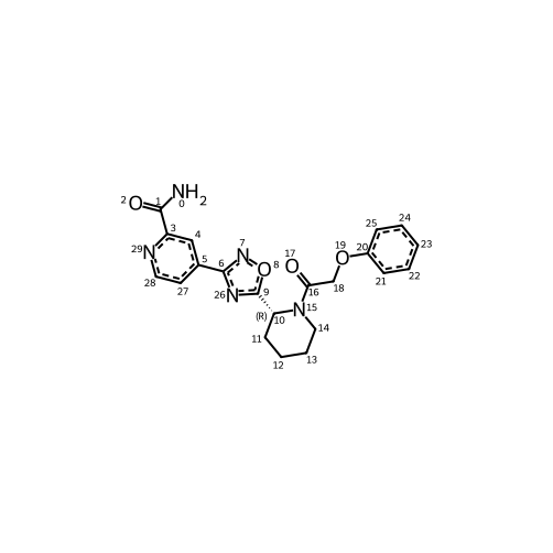 NC(=O)c1cc(-c2noc([C@H]3CCCCN3C(=O)COc3ccccc3)n2)ccn1